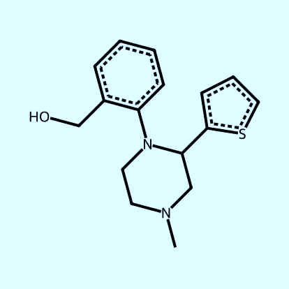 CN1CCN(c2ccccc2CO)C(c2cccs2)C1